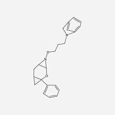 c1ccc(C23CC2CC2C(O3)N2OCCCN2Cc3cccc2c3)cc1